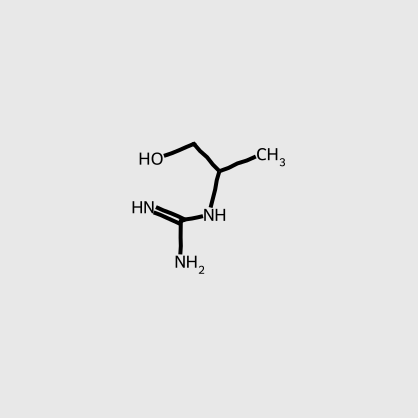 CC(CO)NC(=N)N